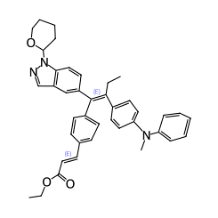 CCOC(=O)/C=C/c1ccc(/C(=C(/CC)c2ccc(N(C)c3ccccc3)cc2)c2ccc3c(cnn3C3CCCCO3)c2)cc1